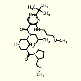 COCCCNc1nc(C(C)(C)C)ncc1C(=O)N(CC(C)C)[C@@H]1CNC[C@H](C(=O)N2CCC[C@H]2COC)C1